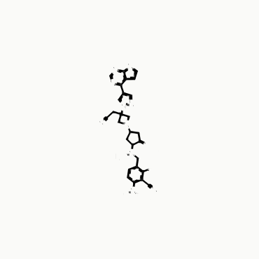 C=C1CC(N2CC(CC#N)(n3cc(-c4ncnc5[nH]ccc45)cn3)C2)CC1N(C)Cc1ccc(N(C)C)c(C#N)c1F